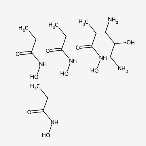 CCC(=O)NO.CCC(=O)NO.CCC(=O)NO.CCC(=O)NO.NCC(O)CN